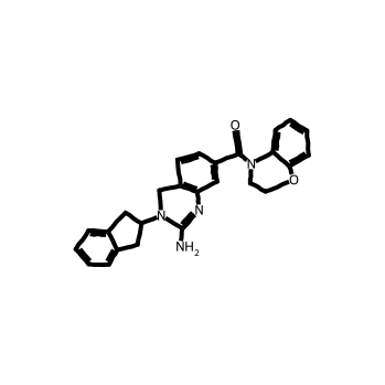 NC1=Nc2cc(C(=O)N3CCOc4ccccc43)ccc2CN1C1Cc2ccccc2C1